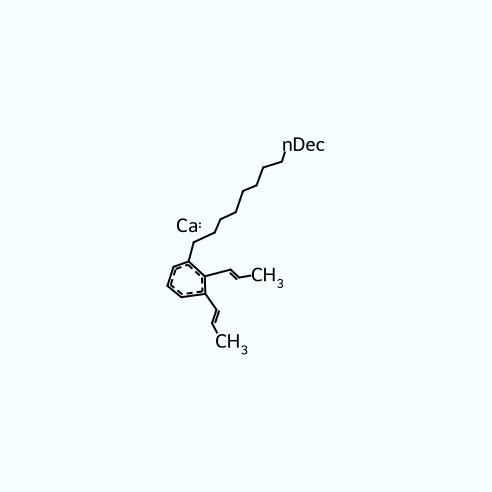 CC=Cc1cccc(CCCCCCCCCCCCCCCCCC)c1C=CC.[Ca]